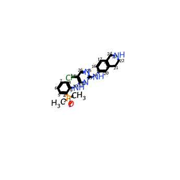 CP(C)(=O)c1ccccc1Nc1nc(Nc2ccc3c(c2)CCNC3)ncc1Cl